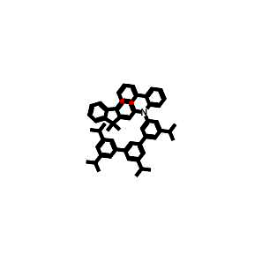 CC(C)c1cc(-c2cc(C(C)C)cc(C(C)C)c2)cc(-c2cc(C(C)C)cc(N(c3ccc4c(c3)C(C)(C)c3ccccc3-4)c3ccccc3-c3ccccc3)c2)c1